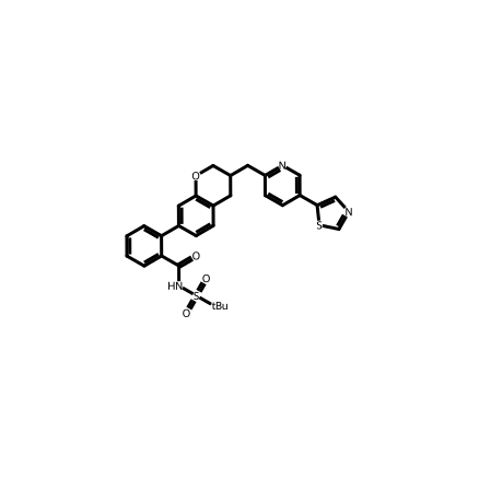 CC(C)(C)S(=O)(=O)NC(=O)c1ccccc1-c1ccc2c(c1)OCC(Cc1ccc(-c3cncs3)cn1)C2